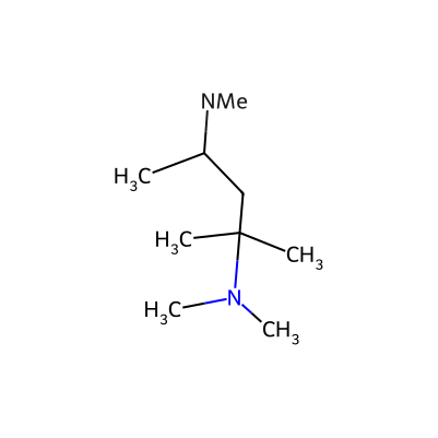 CNC(C)CC(C)(C)N(C)C